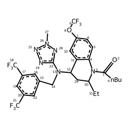 CCCCC(=O)N1c2ccc(OC(F)(F)F)cc2C(N(Cc2cc(C(F)(F)F)cc(C(F)(F)F)c2)c2nnn(C)n2)CC1CC